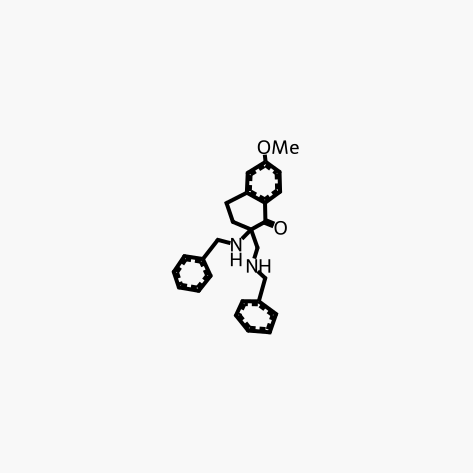 COc1ccc2c(c1)CCC(CNCc1ccccc1)(NCc1ccccc1)C2=O